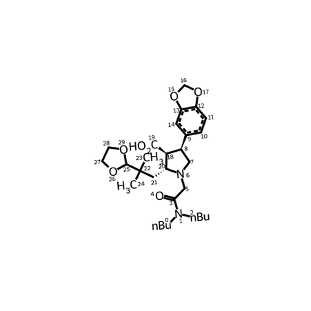 CCCCN(CCCC)C(=O)CN1C[C@H](c2ccc3c(c2)OCO3)[C@H](C(=O)O)[C@H]1CC(C)(C)C1OCCO1